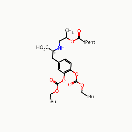 CCCC(C)C(=O)OC(C)CN[C@@H](Cc1ccc(OC(=O)OCC(C)CC)c(OC(=O)OCC(C)CC)c1)C(=O)O